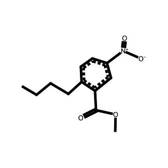 CCCCc1ccc([N+](=O)[O-])cc1C(=O)OC